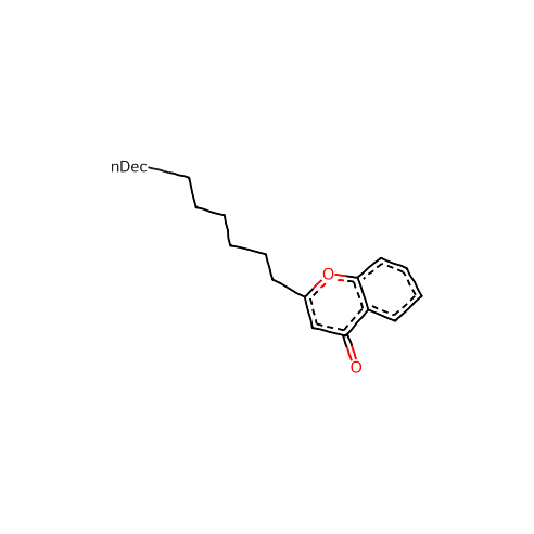 CCCCCCCCCCCCCCCCc1cc(=O)c2ccccc2o1